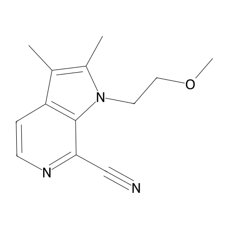 COCCn1c(C)c(C)c2ccnc(C#N)c21